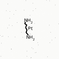 NCCCCCCN.[Pt]